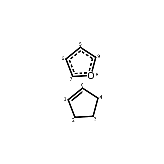 C1=CCCC1.c1ccoc1